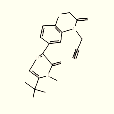 C#CCN1C(=O)COc2ccc(-c3ncc(C(F)(F)F)n(C)c3=O)cc21